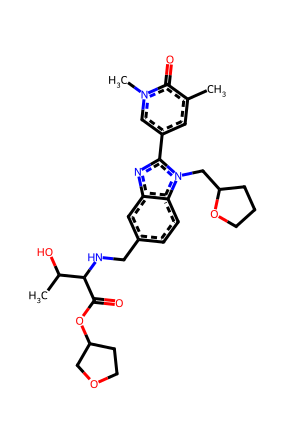 Cc1cc(-c2nc3cc(CNC(C(=O)OC4CCOC4)C(C)O)ccc3n2CC2CCCO2)cn(C)c1=O